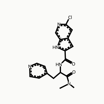 CN(C)C(=O)C(Cc1ccncc1)NC(=O)c1cc2cc(Cl)ncc2[nH]1